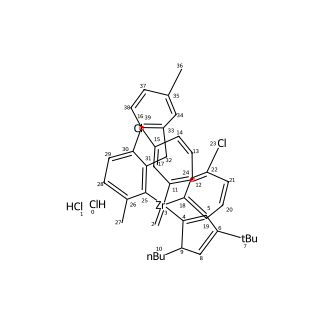 Cl.Cl.[CH2]=[Zr]([C]1=CC(C(C)(C)C)=CC1CCCC)([c]1cccc(Cl)c1)([c]1cccc(Cl)c1)[c]1c(C)ccc2c1Cc1cc(C)ccc1-2